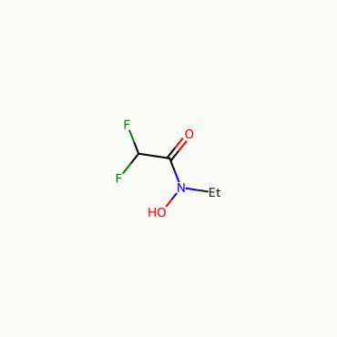 CCN(O)C(=O)C(F)F